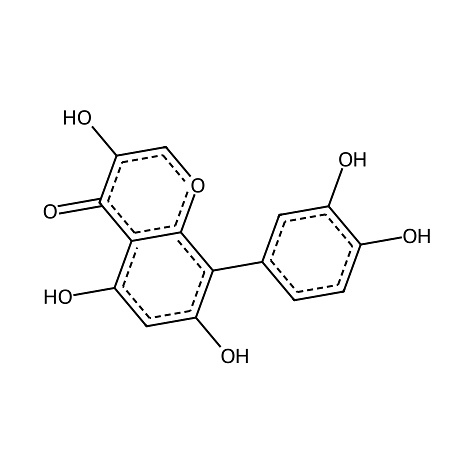 O=c1c(O)coc2c(-c3ccc(O)c(O)c3)c(O)cc(O)c12